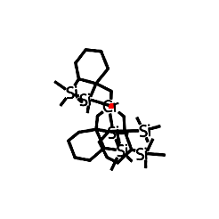 C[Si](C)(C)C1CCCCC1([CH2][Cr]([CH2]C1([Si](C)(C)C)CCCCC1[Si](C)(C)C)[CH2]C1([Si](C)(C)C)CCCCC1[Si](C)(C)C)[Si](C)(C)C